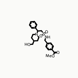 COC(=O)c1ccc(CNS(=O)(=O)CC(c2ccccc2)N2CCC(CO)CC2)cc1